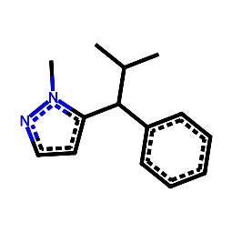 CC(C)C(c1ccccc1)c1ccnn1C